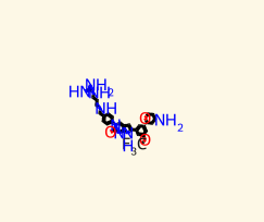 N=C(N)NCCCNCc1ccc(-n2cc3cc(-c4cc(OC(F)(F)F)cc([C@H]5C[C@H](N)CCO5)c4)[nH]c3nc2=O)cc1